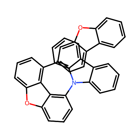 c1ccc2c(c1)oc1cc(-c3cccc4oc5cccc(-n6c7ccccc7c7ccccc76)c5c34)ccc12